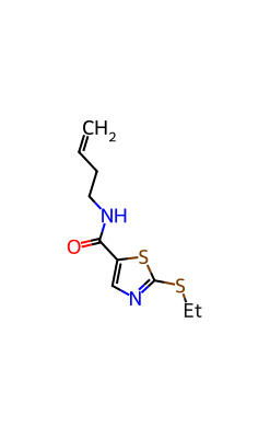 C=CCCNC(=O)c1cnc(SCC)s1